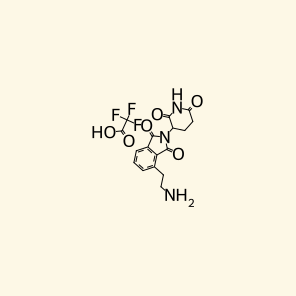 NCCc1cccc2c1C(=O)N(C1CCC(=O)NC1=O)C2=O.O=C(O)C(F)(F)F